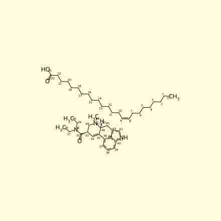 CCCCCCCC/C=C\CCCCCCCCCCCCCC(=O)O.CCN(CC)C(=O)[C@@H]1C=C2c3cccc4[nH]cc(c34)C[C@H]2N(C)C1